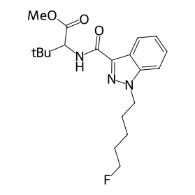 COC(=O)C(NC(=O)c1nn(CCCCCF)c2ccccc12)C(C)(C)C